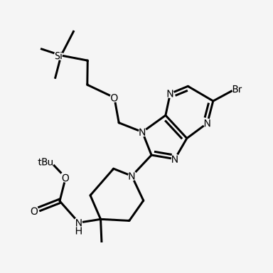 CC1(NC(=O)OC(C)(C)C)CCN(c2nc3nc(Br)cnc3n2COCC[Si](C)(C)C)CC1